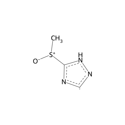 C[S+]([O-])c1n[c]n[nH]1